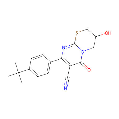 CC(C)(C)c1ccc(-c2nc3n(c(=O)c2C#N)CC(O)CS3)cc1